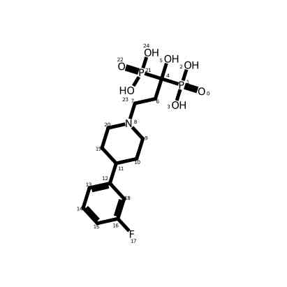 O=P(O)(O)C(O)(CCN1CCC(c2cccc(F)c2)CC1)P(=O)(O)O